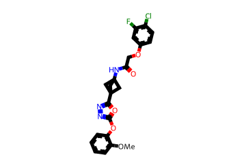 COc1ccccc1Oc1nnc(C23CC(NC(=O)COc4ccc(Cl)c(F)c4)(C2)C3)o1